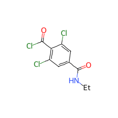 CCNC(=O)c1cc(Cl)c(C(=O)Cl)c(Cl)c1